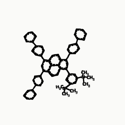 C[Si](C)(C)c1cc(-c2cc(-c3ccc(-c4ccccc4)cc3)c3ccc4c(-c5ccc(-c6ccccc6)cc5)cc(-c5ccc(-c6ccccc6)cc5)c5ccc2c3c45)cc([Si](C)(C)C)c1